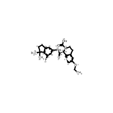 CCOc1ccc2c(c1)CCN(C(=O)O)[C@@H]2C(=O)Nc1cc(F)c2c(c1)CCC2(C)C